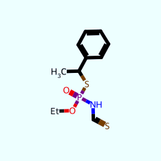 CCOP(=O)(NC=S)SC(C)c1ccccc1